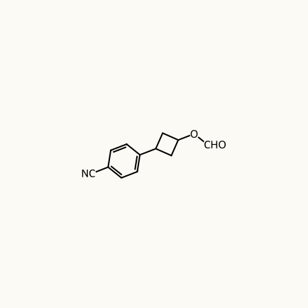 N#Cc1ccc(C2CC(OC=O)C2)cc1